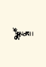 Cc1cc2cc(CNc3cc(-c4cccnc4)nc(-c4ccccn4)n3)ccc2[nH]1